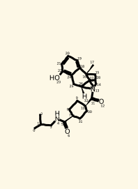 CC(C)CNC(=O)[C@H]1CC[C@@H](C(=O)N2CC[C@@]3(C)c4cccc(O)c4C[C@@H]2C3(C)C)CC1